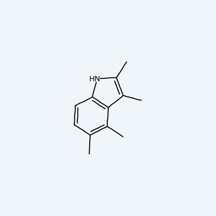 Cc1ccc2[nH]c(C)c(C)c2c1C